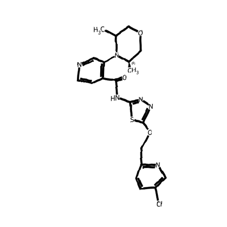 CC1COC[C@@H](C)N1c1cnccc1C(=O)Nc1nnc(OCc2ccc(Cl)cn2)s1